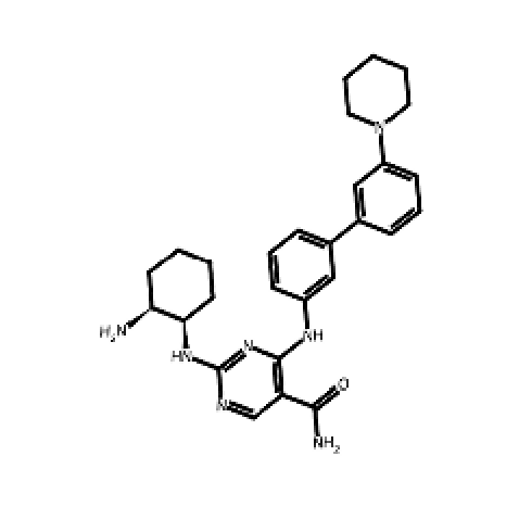 NC(=O)c1cnc(N[C@@H]2CCCC[C@@H]2N)nc1Nc1cccc(-c2cccc(N3CCCCC3)c2)c1